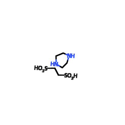 C1CNCCN1.O=S(=O)(O)CCS(=O)(=O)O